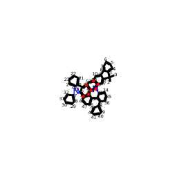 CC1(C)c2ccccc2-c2ccc(N(c3ccc4c(c3)c3ccccc3n4-c3ccccc3)c3cccc(-c4ccccc4)c3-c3ccccc3-c3ccccc3)cc21